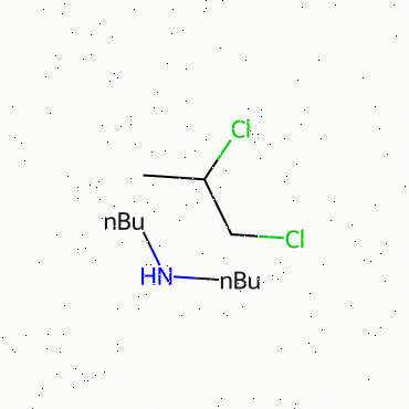 CC(Cl)CCl.CCCCNCCCC